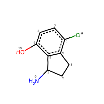 NC1CCc2c(Cl)ccc(O)c21